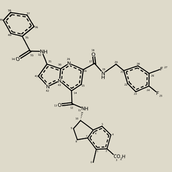 Cc1c(C(=O)O)ccc2c1CC[C@@H]2NC(=O)c1cc(C(=O)NCc2ccc(F)c(F)c2)nc2c(NC(=O)c3ccccc3)cnn12